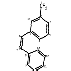 FC(F)(F)c1cccc(/C=N\c2ccccc2)c1